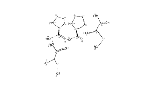 NC(CS)C(=O)O.NC(CS)C(=O)O.O=C(O)[C@@H]1CCCN1.O=C(O)[C@@H]1CCCN1